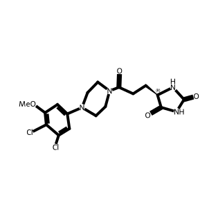 COc1cc(N2CCN(C(=O)CC[C@H]3NC(=O)NC3=O)CC2)cc(Cl)c1Cl